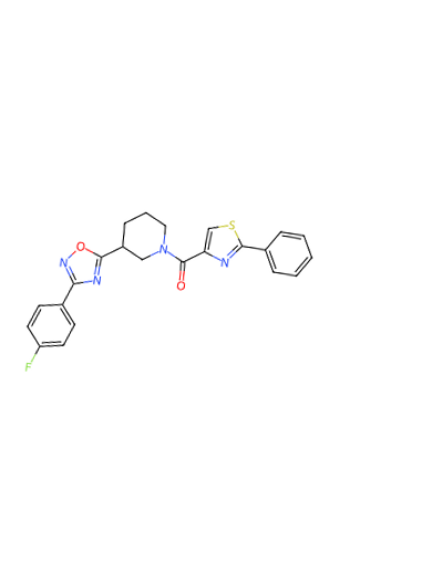 O=C(c1csc(-c2ccccc2)n1)N1CCCC(c2nc(-c3ccc(F)cc3)no2)C1